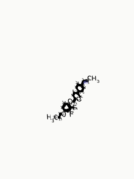 C/C=C/C1CCC(C2CCC(COc3ccc(OCCC)c(F)c3F)OC2)CC1